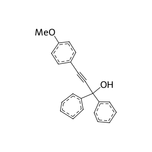 COc1ccc(C#CC(O)(c2ccccc2)c2ccccc2)cc1